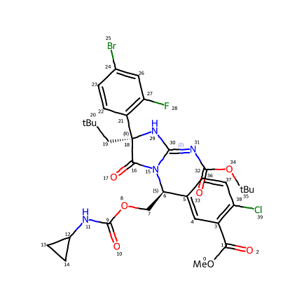 COC(=O)c1cc([C@@H](COC(=O)NC2CC2)N2C(=O)[C@@](CC(C)(C)C)(c3ccc(Br)cc3F)N/C2=N/C(=O)OC(C)(C)C)ccc1Cl